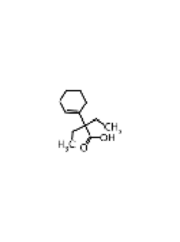 CCC(CC)(C(=O)O)C1=CCCCC1